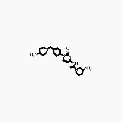 Cl.NC1CCN(Cc2ccc(-n3ccc(NC(=O)N4CCCC(N)C4)nc3=O)cc2)CC1